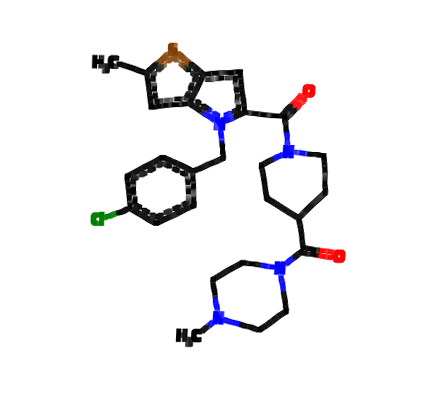 Cc1cc2c(cc(C(=O)N3CCC(C(=O)N4CCN(C)CC4)CC3)n2Cc2ccc(Cl)cc2)s1